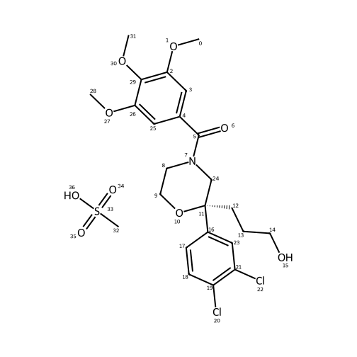 COc1cc(C(=O)N2CCO[C@](CCCO)(c3ccc(Cl)c(Cl)c3)C2)cc(OC)c1OC.CS(=O)(=O)O